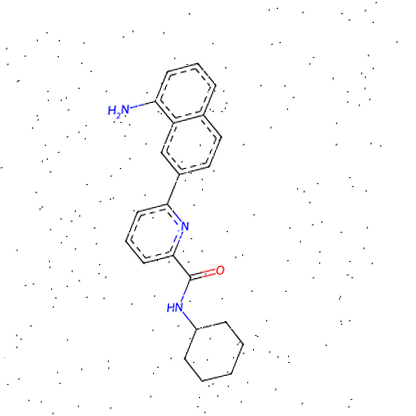 Nc1cccc2ccc(-c3cccc(C(=O)NC4CCCCC4)n3)cc12